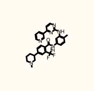 Cc1ccc(NC(=O)c2ccc(C3CCCN(C)C3)cc2C(F)(F)F)cc1Nc1nccc(-c2cccnc2)n1